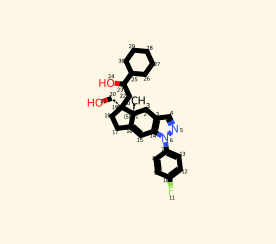 C[C@]12Cc3cnn(-c4ccc(F)cc4)c3C=C1CC[C@@]2(CO)CC(O)C1CCCCC1